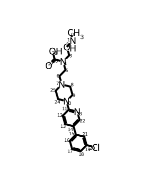 CNOCN(CCN1CCN(c2ccc(-c3cccc(Cl)c3)cn2)CC1)C(=O)O